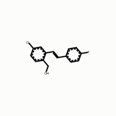 OCc1ccc(Cl)cc1/C=C/c1ccc(F)cc1